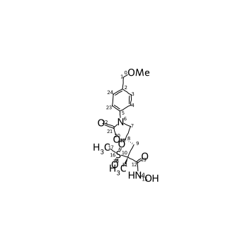 COCc1ccc(N2C[C@H](C[C@](C)(C(=O)NO)S(C)(=O)=O)OC2=O)cc1